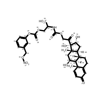 C[C@]12C=CC(=O)C=C1CC[C@H]1[C@@H]3C[C@@H](O)[C@](O)(C(=O)COC(=O)NC(COC(=O)Oc4cccc(CO[N+](=O)[O-])c4)C(=O)O)[C@@]3(C)C[C@H](O)[C@@]12F